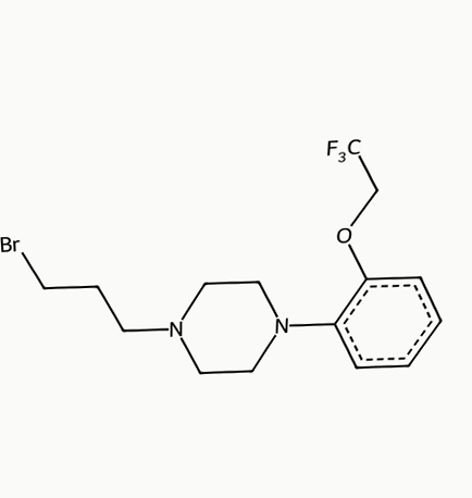 FC(F)(F)COc1ccccc1N1CCN(CCCBr)CC1